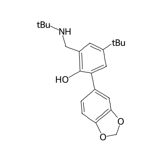 CC(C)(C)NCc1cc(C(C)(C)C)cc(-c2ccc3c(c2)OCO3)c1O